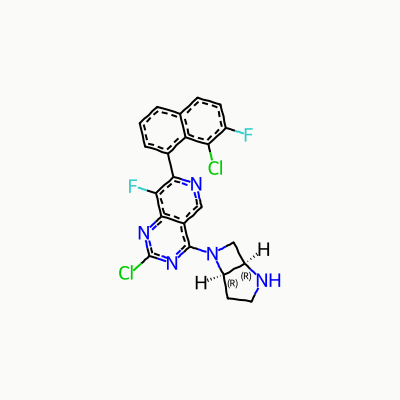 Fc1ccc2cccc(-c3ncc4c(N5C[C@H]6NCC[C@H]65)nc(Cl)nc4c3F)c2c1Cl